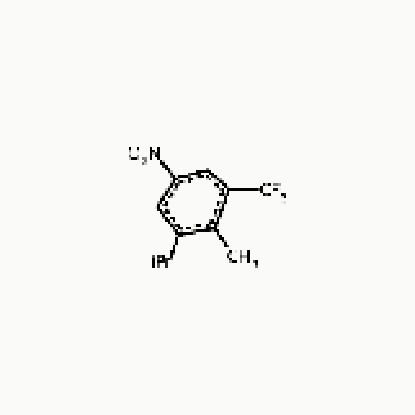 Cc1c(C(C)C)cc([N+](=O)[O-])cc1C(F)(F)F